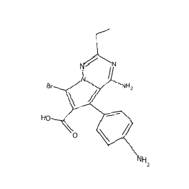 CCc1nc(N)c2c(-c3ccc(N)cc3)c(C(=O)O)c(Br)n2n1